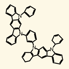 C1=CCC(n2c3ccccc3c3cc4c5c(n(-c6cccc(-n7c8ccccc8c8cc9c%10ccccc%10n(-c%10ccccc%10)c9cc87)c6)c4cc32)C=CCC5)C=C1